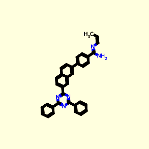 C/C=C\N=C(/N)c1ccc(-c2ccc3ccc(-c4nc(-c5ccccc5)nc(-c5ccccc5)n4)cc3c2)cc1